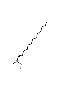 CCCCCCCCCCCC=CN(C)CC